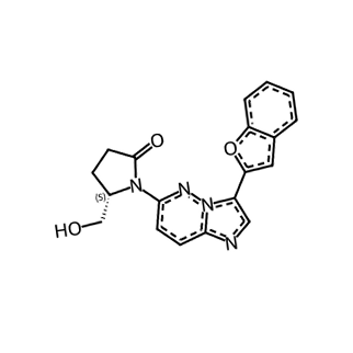 O=C1CC[C@@H](CO)N1c1ccc2ncc(-c3cc4ccccc4o3)n2n1